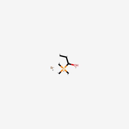 CCC(O)[P+](C)(C)C.[Br-]